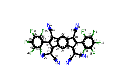 N#CC(C#N)=C1C(c2c(F)c(F)c(F)c(F)c2F)=C(C#N)c2cc3c(cc21)C(=C(C#N)C#N)C(c1c(F)c(F)c(F)c(F)c1F)=C3C#N